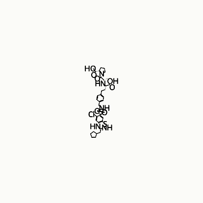 C[C@H](N[C@@H](CCc1ccc(CNS(=O)(=O)c2cc3c(cc2Cl)NC(CC2CCCC2)NS3)cc1)C(=O)O)C(=O)N1CCC[C@H]1C(=O)O